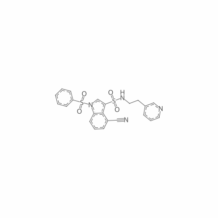 N#Cc1cccc2c1c(S(=O)(=O)NCCc1cccnc1)cn2S(=O)(=O)c1ccccc1